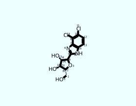 OC[C@H]1OC(c2nc3c(Cl)c(Cl)ccc3[nH]2)[C@H](O)[C@@H]1O